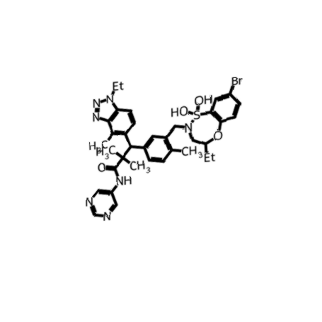 CCC1CN(Cc2cc(C(c3ccc4c(nnn4CC)c3C)C(C)(C)C(=O)Nc3cncnc3)ccc2C)S(O)(O)c2cc(Br)ccc2O1